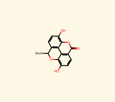 COC1Oc2c(O)ccc3c(=O)oc4c(O)ccc1c4c23